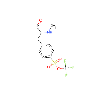 CNC(C=O)Cc1ccc(S(=O)(=O)OC(F)(F)F)cc1